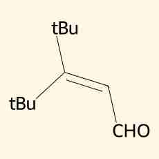 CC(C)(C)C(=CC=O)C(C)(C)C